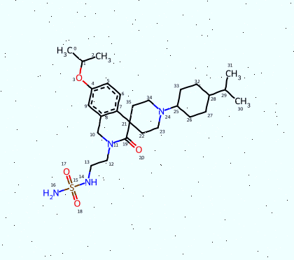 CC(C)Oc1ccc2c(c1)CN(CCNS(N)(=O)=O)C(=O)C21CCN(C2CCC(C(C)C)CC2)CC1